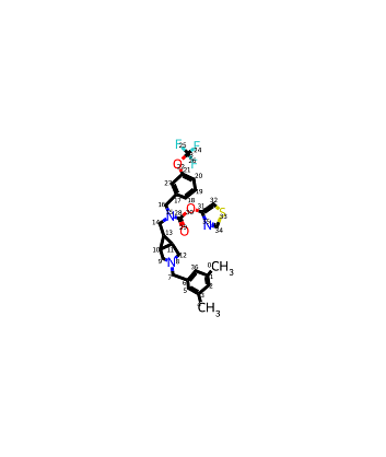 Cc1cc(C)cc(CN2CC3C(C2)C3CN(Cc2cccc(OC(F)(F)F)c2)C(=O)Oc2cscn2)c1